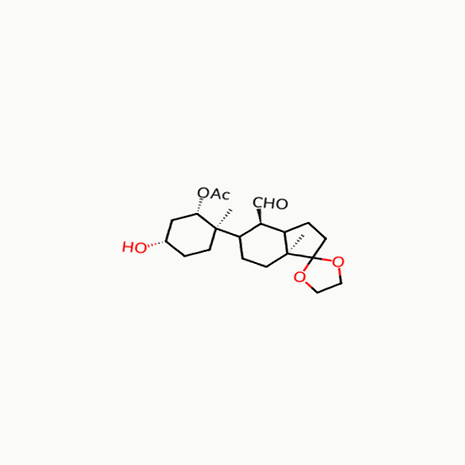 CC(=O)O[C@H]1C[C@@H](O)CC[C@]1(C)C1CC[C@@]2(C)C(CCC23OCCO3)[C@@H]1C=O